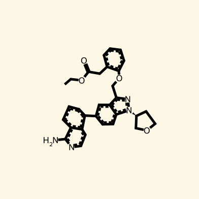 CCOC(=O)Cc1ccccc1OCc1nn([C@@H]2CCOC2)c2ccc(-c3cccc4c(N)nccc34)cc12